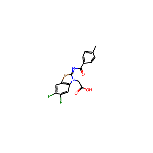 Cc1ccc(C(=O)N=c2sc3cc(F)c(F)cc3n2CC(=O)O)cc1